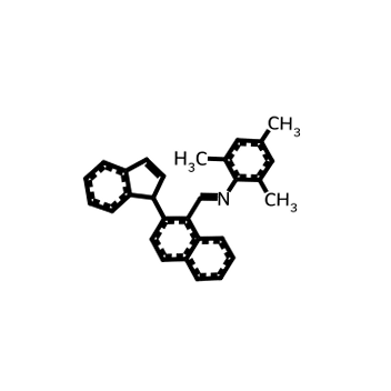 Cc1cc(C)c(/N=C/c2c(C3C=Cc4ccccc43)ccc3ccccc23)c(C)c1